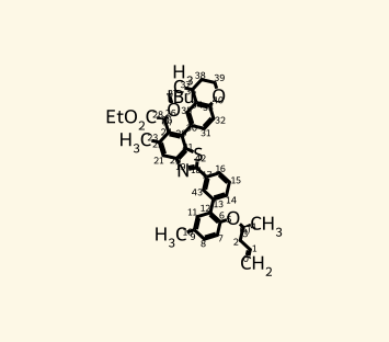 C=CC[C@H](C)Oc1ccc(C)cc1-c1cccc(-c2nc3cc(C)c([C@H](OC(C)(C)C)C(=O)OCC)c(-c4ccc5c(c4)C(C)CCO5)c3s2)c1